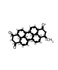 C=C1CC(=O)c2ccc3c4ccc5c6c(ccc(c7ccc1c2c73)c64)C(=O)CC5=O